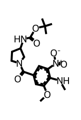 CNc1c(OC)cc(C(=O)N2CCC(NC(=O)OC(C)(C)C)C2)cc1[N+](=O)[O-]